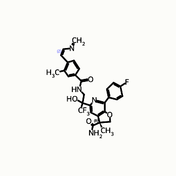 C=N/C=C\c1ccc(C(=O)NCC(O)(c2cc3c(c(-c4ccc(F)cc4)n2)OC[C@]3(C)C(N)=O)C(F)(F)F)cc1C